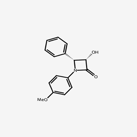 COc1ccc(N2C(=O)[C@@H](O)[C@H]2c2ccccc2)cc1